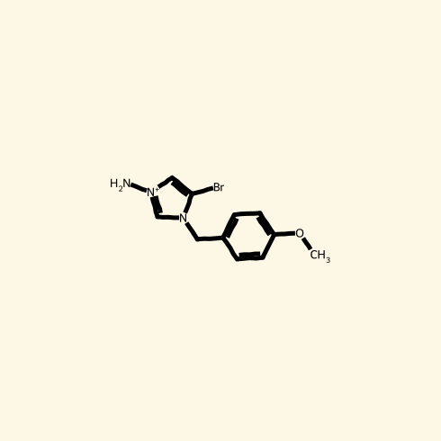 COc1ccc(Cn2c[n+](N)cc2Br)cc1